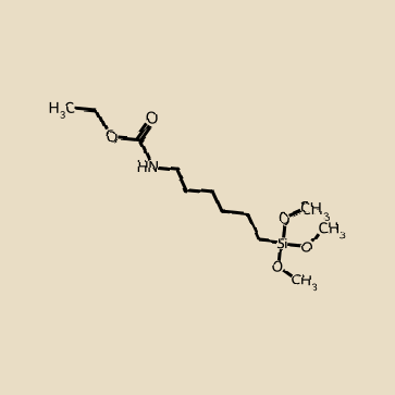 CCOC(=O)NCCCCCC[Si](OC)(OC)OC